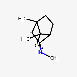 CNC1[CH]C2(C)CCC1C2(C)C